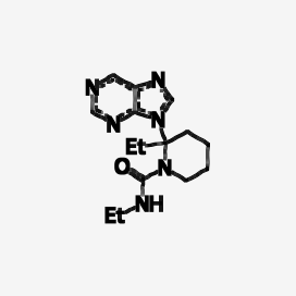 CCNC(=O)N1CCCCC1(CC)n1cnc2cncnc21